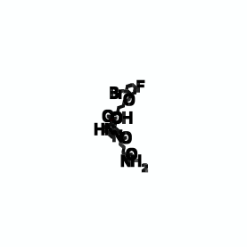 NC(=O)CCCC(=O)N1CC2CC=C(C(=O)O)C(c3ccc(CCCOc4cc(F)ccc4Br)cc3)(C1)N2